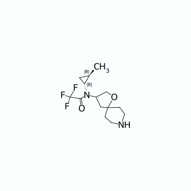 C[C@@H]1C[C@H]1N(C(=O)C(F)(F)F)C1COC2(CCNCC2)C1